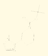 CC(C)(C)OC(=O)N1CCCC(c2ncc[nH]2)C1